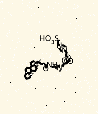 C[C@H](CCC(=O)NCCC[N+](C)(C)CCCS(=O)(=O)OCCN1CCN(CCS(=O)(=O)O)CC1)[C@H]1CCC2C3CCC4CCCC[C@]4(C)C3CC[C@@]21C